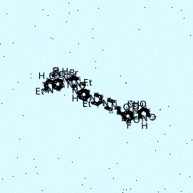 CCOc1cc(N2CCC(N3CCN(CCc4cc(F)cc(N(C)C5CCC(=O)NC5=O)c4OC=O)CC3)CC2)c(CC)cc1Nc1ncc(Br)c(Nc2ccc3nc(CC)ccc3c2P(C)(C)=O)n1